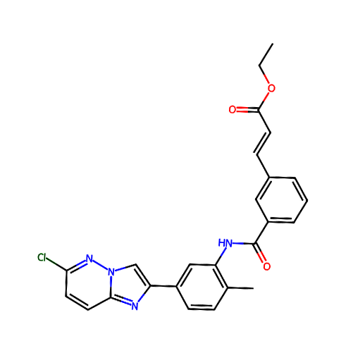 CCOC(=O)C=Cc1cccc(C(=O)Nc2cc(-c3cn4nc(Cl)ccc4n3)ccc2C)c1